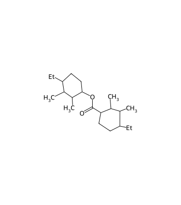 CCC1CCC(OC(=O)C2CCC(CC)C(C)C2C)C(C)C1C